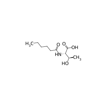 CCCCCC(=O)N[C@H](C(=O)O)[C@@H](C)O